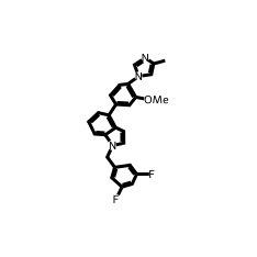 COc1cc(-c2cccc3c2ccn3Cc2cc(F)cc(F)c2)ccc1-n1cnc(C)c1